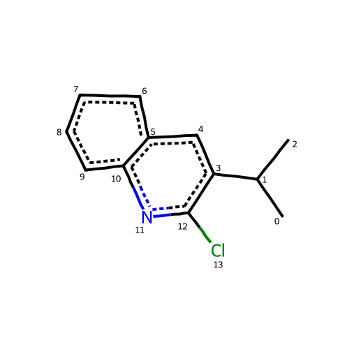 CC(C)c1cc2ccccc2nc1Cl